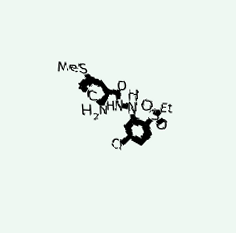 CCS(=O)(=O)c1ccc(Cl)cc1NNC(=O)c1cc(SC)ccc1N